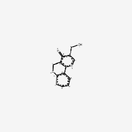 O=c1c(CO)coc2c1COc1ccccc1-2